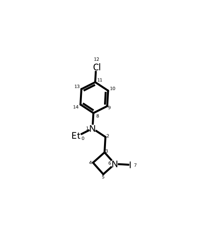 CCN(CC1CCN1I)c1ccc(Cl)cc1